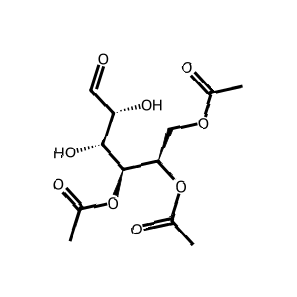 CC(=O)OC[C@@H](OC(C)=O)[C@@H](OC(C)=O)[C@H](O)[C@@H](O)C=O